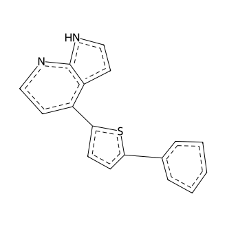 c1ccc(-c2ccc(-c3ccnc4[nH]ccc34)s2)cc1